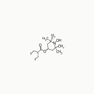 CC1(C)CC(OC(=O)C(CI)CI)CC(C)(C)N1O